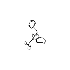 O=C(Cl)c1nn(Cc2ccccc2)c2c1CCCC2